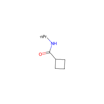 CC[CH]NC(=O)C1CCC1